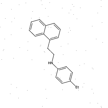 CCc1ccc(NCCc2cccc3ccccc23)cc1